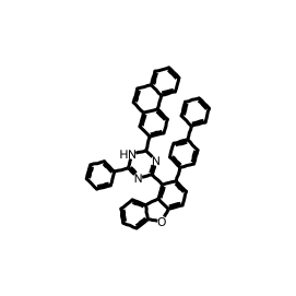 c1ccc(C2=NC(c3c(-c4ccc(-c5ccccc5)cc4)ccc4oc5ccccc5c34)=NC(c3ccc4c(ccc5ccccc54)c3)N2)cc1